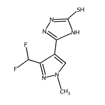 Cn1cc(-c2nnc(S)[nH]2)c(C(F)F)n1